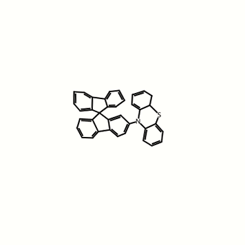 C1=CCC2Sc3ccccc3N(c3ccc4c(c3)C3(c5ccccc5-c5ccccc53)c3ccccc3-4)C2=C1